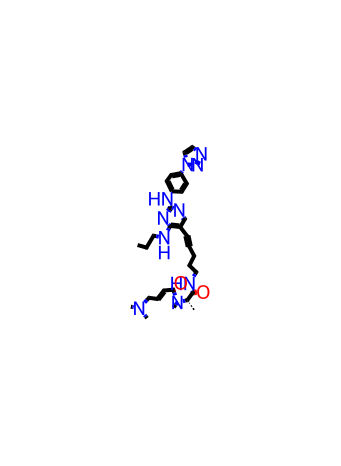 CCCNc1nc(Nc2ccc(-n3ccnn3)cc2)ncc1C#CCCCNC(=O)[C@H](C)N(C)C(=O)/C=C/CN(C)C